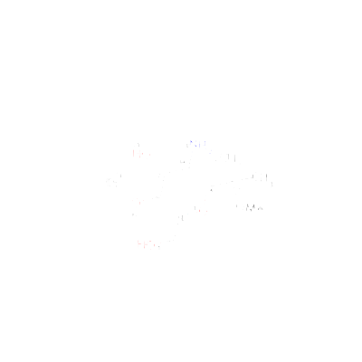 COC(C)(C)C1OC(CO)C(OC(C)C)C(O)C1N